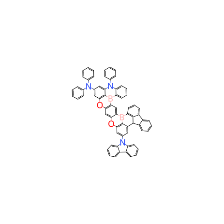 c1ccc(N(c2ccccc2)c2cc3c4c(c2)N(c2ccccc2)c2ccccc2B4c2cc4c(cc2O3)Oc2cc(-n3c5ccccc5c5ccccc53)cc3c2B4c2cccc4c2C3c2ccccc2-4)cc1